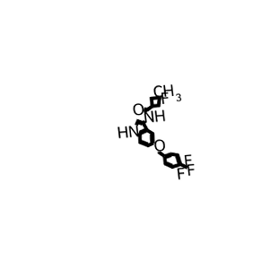 CC1(F)CC(C(=O)Nc2c[nH]c3ccc(OCc4ccc(C(F)(F)F)cc4)cc23)C1